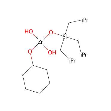 CC(C)C[Si](CC(C)C)(CC(C)C)[O][Zr]([OH])([OH])[O]C1CCCCC1